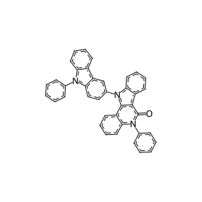 O=c1c2c3ccccc3n(-c3ccc4c(c3)c3ccccc3n4-c3ccccc3)c2c2ccccc2n1-c1ccccc1